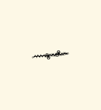 CCCCCCCCCOC(=O)CCCCCOC(=O)CCCCCC